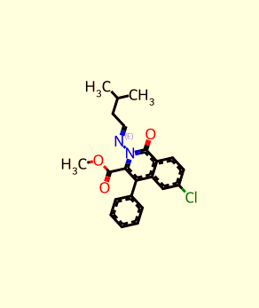 COC(=O)c1c(-c2ccccc2)c2cc(Cl)ccc2c(=O)n1/N=C/CC(C)C